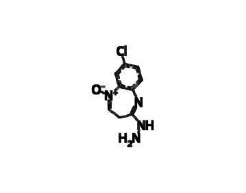 NNC1=Nc2ccc(Cl)cc2[N+]([O-])=CC1